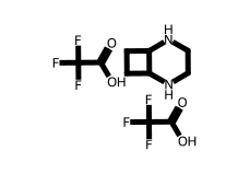 C1CNC2CCC2N1.O=C(O)C(F)(F)F.O=C(O)C(F)(F)F